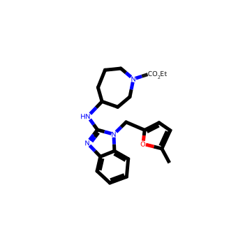 CCOC(=O)N1CCCC(Nc2nc3ccccc3n2Cc2ccc(C)o2)CC1